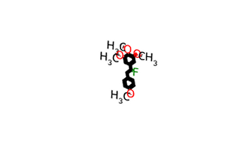 COc1ccc(CC(F)c2cc(OC)c(OC)c(OC)c2)cc1